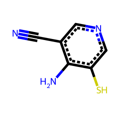 N#Cc1cncc(S)c1N